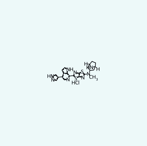 CN(c1nc2sc(-c3ncc(-c4cn[nH]c4)c4cc[nH]c34)nc2s1)C1C[C@H]2CC[C@@H](C1)N2.Cl